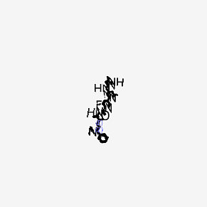 C=N/C(=C\C=C(/C)C(C)NC(=O)c1ncc(-c2nc(C)cc(Nc3cc(C)[nH]n3)n2)cc1F)c1ccccc1